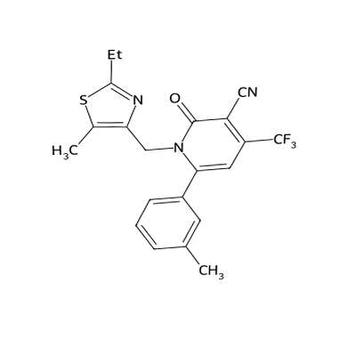 CCc1nc(Cn2c(-c3cccc(C)c3)cc(C(F)(F)F)c(C#N)c2=O)c(C)s1